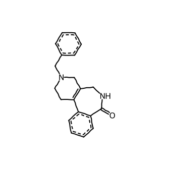 O=C1NCC2=C(CCN(Cc3ccccc3)C2)c2ccccc21